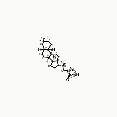 C[C@@]1(O)CC[C@@H]2C3CC[C@]4(C)[C@@H](C(=O)Cn5nn[nH]c5=O)CC[C@H]4[C@@H]3CC[C@@H]2C1